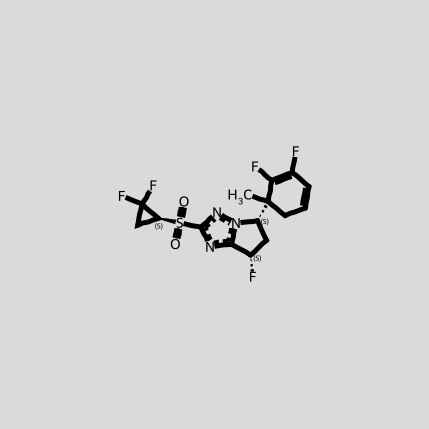 CC1([C@@H]2C[C@H](F)c3nc(S(=O)(=O)[C@H]4CC4(F)F)nn32)CC=CC(F)=C1F